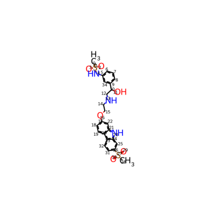 CS(=O)(=O)Nc1cccc(C(O)CNCCOc2ccc3c(c2)[nH]c2cc(S(C)(=O)=O)ccc23)c1